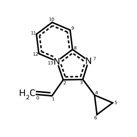 C=Cc1c(C2CC2)nc2ccccn12